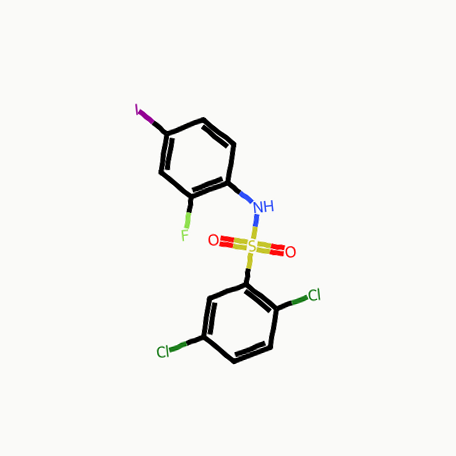 O=S(=O)(Nc1ccc(I)cc1F)c1cc(Cl)ccc1Cl